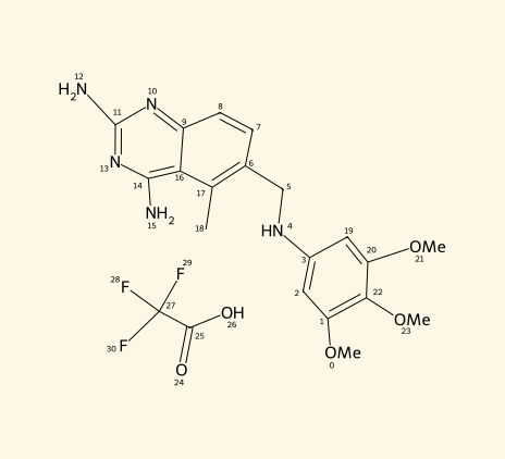 COc1cc(NCc2ccc3nc(N)nc(N)c3c2C)cc(OC)c1OC.O=C(O)C(F)(F)F